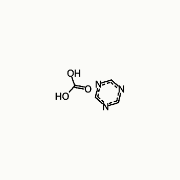 O=C(O)O.c1ncncn1